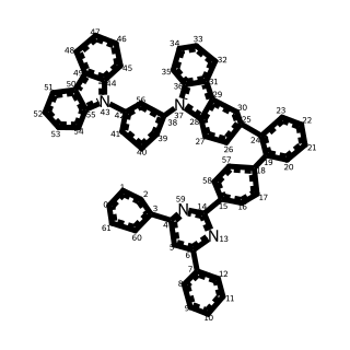 c1ccc(-c2cc(-c3ccccc3)nc(-c3ccc(-c4ccccc4-c4ccc5c(c4)c4ccccc4n5-c4cccc(-n5c6ccccc6c6ccccc65)c4)cc3)n2)cc1